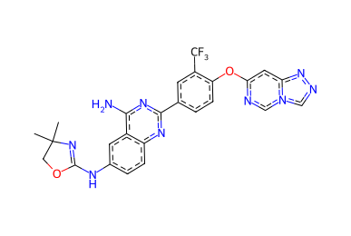 CC1(C)COC(Nc2ccc3nc(-c4ccc(Oc5cc6nncn6cn5)c(C(F)(F)F)c4)nc(N)c3c2)=N1